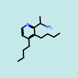 CCCCc1ccnc(C(C)N)c1CCCC